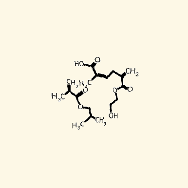 C=C(C)C(=O)OCC(C)C.C=C(CC=C(C)C(=O)O)C(=O)OCCO